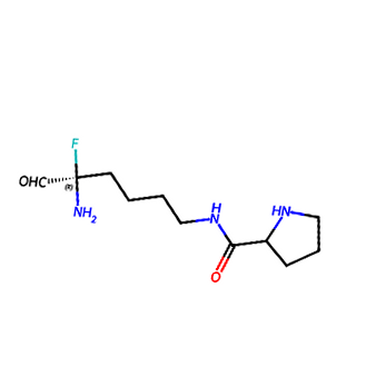 N[C@](F)(C=O)CCCCNC(=O)C1CCCN1